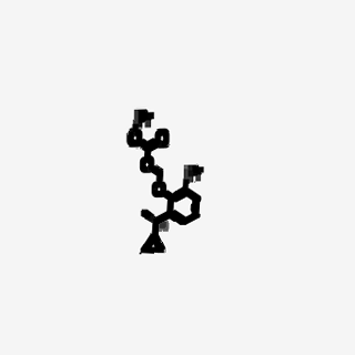 CC(C)OC(=O)OCOc1c(C(C)C)cccc1[C@H](C)C1CC1